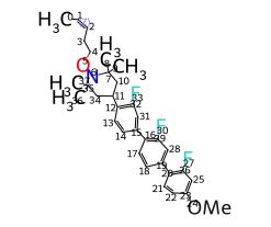 C/C=C\CCON1C(C)(C)CC(c2ccc(-c3ccc(-c4ccc(OC)cc4F)cc3F)cc2F)CC1(C)C